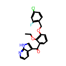 CCOc1c(OCc2ccc(Cl)cc2F)cccc1C(=O)c1c[nH]c2ncccc12